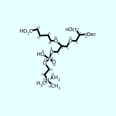 CCCCCCCCCCC(CCCCCCCC)COCC(COP(=O)(O)OCC[N+](C)(C)C)OCCCCC(=O)O